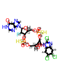 O=c1[nH]cnc2c1ncn2[C@@H]1O[C@@H]2COP(=O)(S)OC3C(O)[C@@H](COP(=O)(S)OC2C1F)O[C@H]3n1c(Cl)nc2cc(Cl)c(Cl)cc21